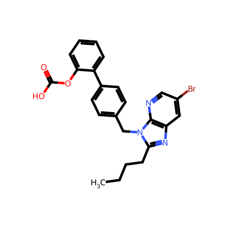 CCCCc1nc2cc(Br)cnc2n1Cc1ccc(-c2ccccc2OC(=O)O)cc1